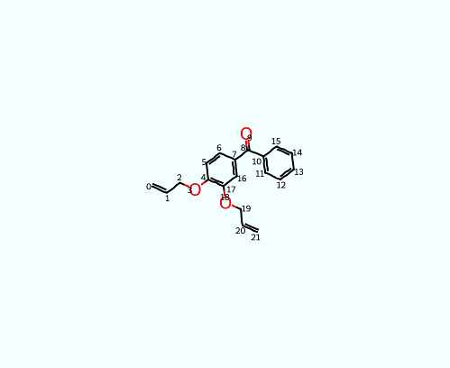 C=CCOc1ccc(C(=O)c2ccccc2)cc1OCC=C